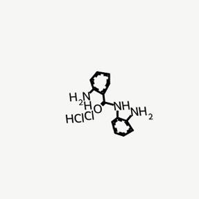 Cl.Cl.Nc1ccccc1NC(=O)c1ccccc1N